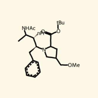 CCC[C@@H](C(C)NC(C)=O)[C@H](Cc1ccccc1)N1CC(COC)CC1C(=O)OC(C)(C)C